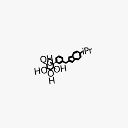 CC(C)c1ccc2cc(Cc3cccc([C@@H]4O[C@H](CO)[C@@H](O)[C@H](O)[C@H]4O)c3)cc-2cc1